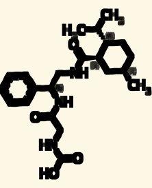 CC(C)[C@@H]1CC[C@@H](C)C[C@H]1C(=O)NC[C@@H](NC(=O)CNC(=O)O)c1ccccc1